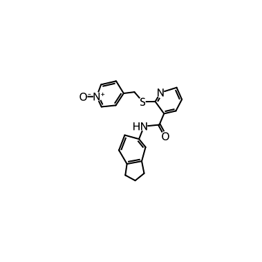 O=C(Nc1ccc2c(c1)CCC2)c1cccnc1SCc1cc[n+]([O-])cc1